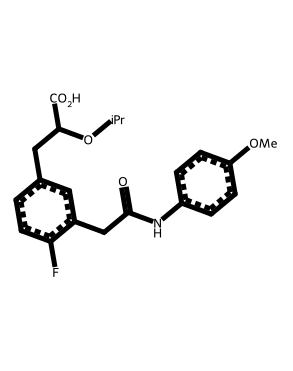 COc1ccc(NC(=O)Cc2cc(CC(OC(C)C)C(=O)O)ccc2F)cc1